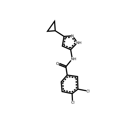 O=C(Nc1cc(C2CC2)n[nH]1)c1ccc(Cl)c(Cl)c1